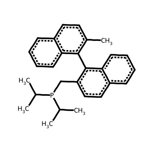 Cc1ccc2ccccc2c1-c1c(CP(C(C)C)C(C)C)ccc2ccccc12